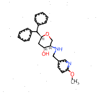 COc1ccc(CN[C@@H]2CO[C@H](C(c3ccccc3)c3ccccc3)C[C@H]2O)cn1